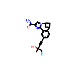 CC(O)(C#Cc1ccc2c(c1)-c1nc(C(N)=O)cn1C1CC2C1)CF